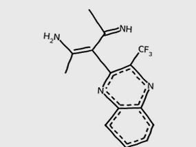 CC(=N)/C(=C(/C)N)c1nc2ccccc2nc1C(F)(F)F